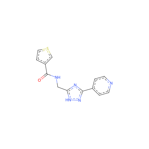 O=C(NCc1nc(-c2ccncc2)n[nH]1)c1ccsc1